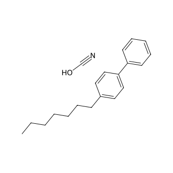 CCCCCCCc1ccc(-c2ccccc2)cc1.N#CO